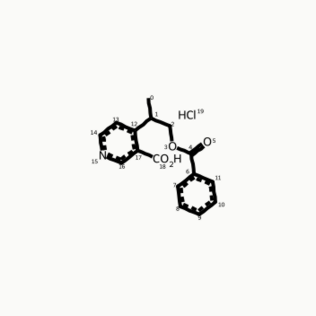 CC(COC(=O)c1ccccc1)c1ccncc1C(=O)O.Cl